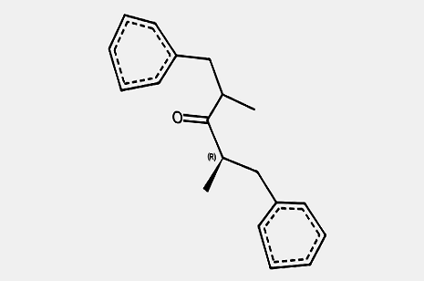 CC(Cc1ccccc1)C(=O)[C@H](C)Cc1ccccc1